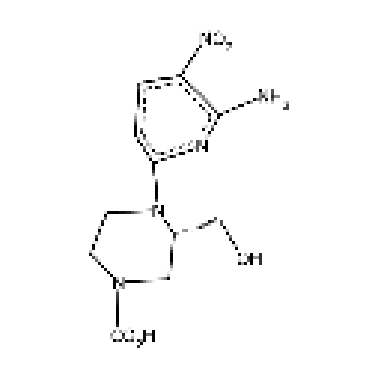 Nc1nc(N2CCN(C(=O)O)C[C@H]2CO)ccc1[N+](=O)[O-]